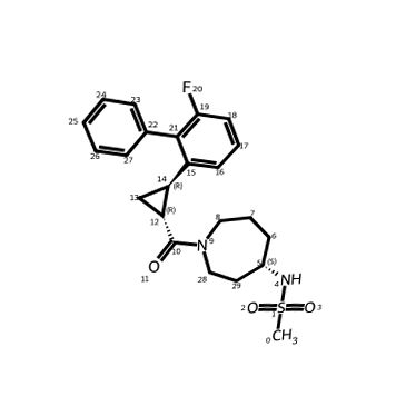 CS(=O)(=O)N[C@H]1CCCN(C(=O)[C@@H]2C[C@H]2c2cccc(F)c2-c2ccccc2)CC1